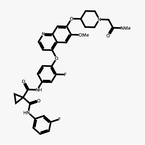 CNC(=O)CN1CCC(Oc2cc3nccc(Oc4ccc(NC(=O)C5(C(=O)Nc6cccc(F)c6)CC5)cc4F)c3cc2OC)CC1